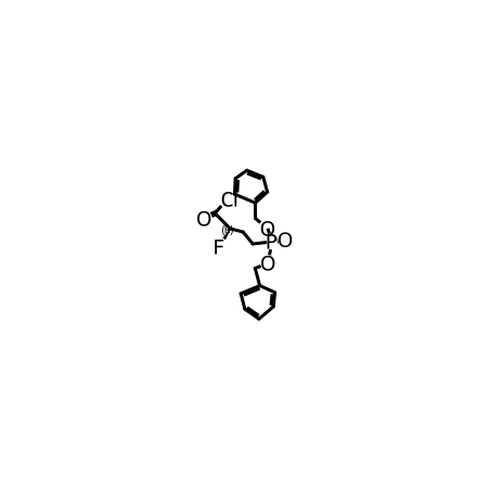 O=C(Cl)[C@H](F)CCP(=O)(OCc1ccccc1)OCc1ccccc1